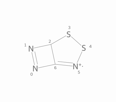 N1=NC2SS[N+]=C12